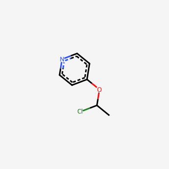 CC(Cl)Oc1ccncc1